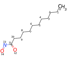 CCCCCCCCCCCC(=O)N=O